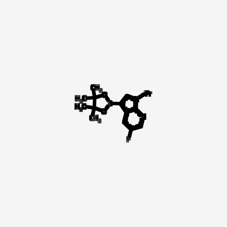 CC(C)n1cc(B2OC(C)(C)C(C)(C)O2)c2cc(F)cnc21